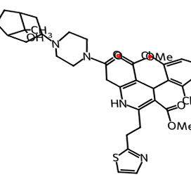 COC(=O)C1=C(CCc2nccs2)NC(CC(=O)N2CCN(C3CC4CCC(C3)C4(C)O)CC2)=C(C(=O)OC)C1c1c(Cl)cccc1Cl